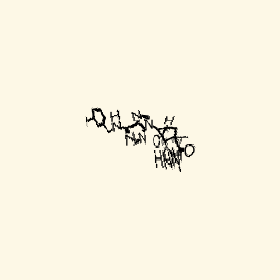 CNC(=O)[C@@]1(C)C[C@H]2C(n3cnc4c(NCc5cccc(I)c5)ncnc43)[C@]2(O)[C@@H]1O